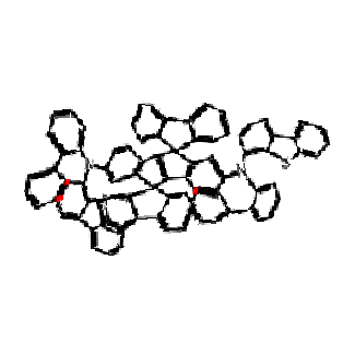 c1ccc(-c2ccccc2N(c2ccc3c(c2)C2(C4=C3C3(c5cc(N(c6ccccc6-c6ccccc6)c6cccc7c6sc6ccccc67)ccc54)c4ccccc4-c4ccccc43)c3ccccc3-c3ccccc32)c2cccc3c2sc2ccccc23)cc1